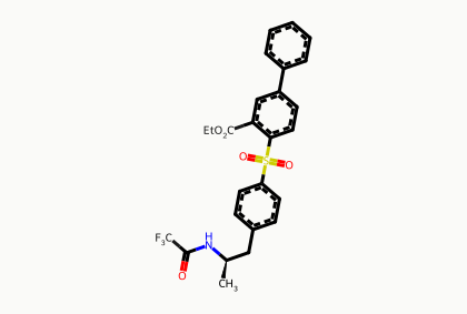 CCOC(=O)c1cc(-c2ccccc2)ccc1S(=O)(=O)c1ccc(C[C@@H](C)NC(=O)C(F)(F)F)cc1